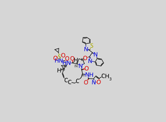 Cc1cc(C(=O)N[C@H]2CCCCCC=C[C@@H]3C[C@@]3(C(=O)NS(=O)(=O)C3CC3)NC(=O)[C@@H]3C[C@@H](Oc4nc5ccccc5nc4-c4nc5ccccc5s4)CN3C2=O)no1